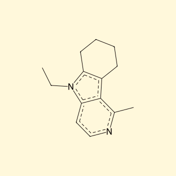 CCn1c2c(c3c(C)nccc31)CCCC2